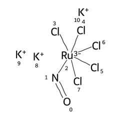 O=[N][Ru-3]([Cl])([Cl])([Cl])([Cl])[Cl].[K+].[K+].[K+]